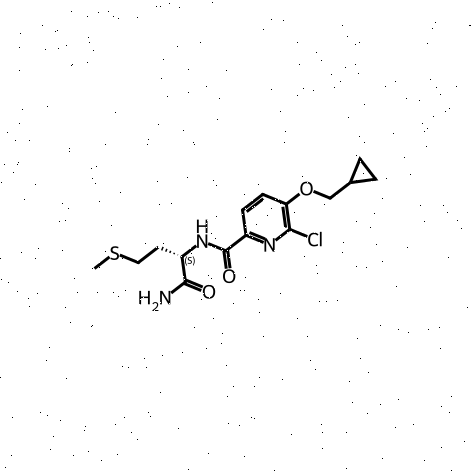 CSCC[C@H](NC(=O)c1ccc(OCC2CC2)c(Cl)n1)C(N)=O